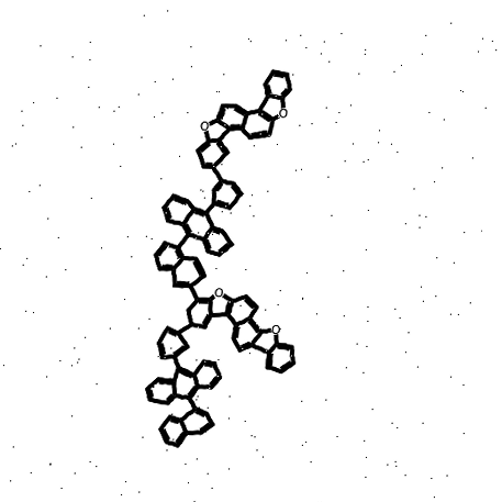 C1=c2c(oc3ccc4c(ccc5c6ccccc6oc54)c23)=C(c2ccc3c(-c4c5ccccc5c(-c5cccc(-c6ccc7oc8ccc9c(ccc%10oc%11ccccc%11c%109)c8c7c6)c5)c5ccccc45)cccc3c2)CC1c1cccc(-c2c3ccccc3c(-c3cccc4ccccc34)c3ccccc23)c1